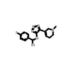 CCC(Oc1nsnc1C1=CCCN(C)C1)c1ccc(F)cc1